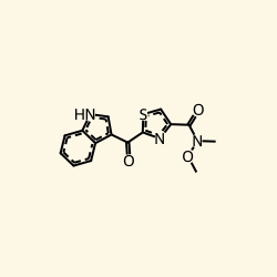 CON(C)C(=O)c1csc(C(=O)c2c[nH]c3ccccc23)n1